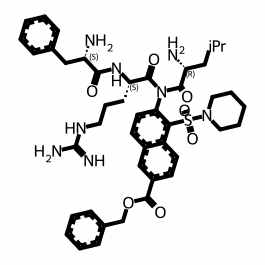 CC(C)C[C@@H](N)C(=O)N(C(=O)[C@H](CCCNC(=N)N)NC(=O)[C@@H](N)Cc1ccccc1)c1ccc2cc(C(=O)OCc3ccccc3)ccc2c1S(=O)(=O)N1CCCCC1